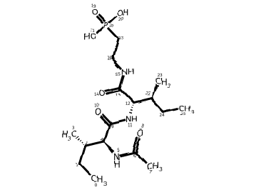 CC[C@H](C)[C@H](NC(C)=O)C(=O)N[C@H](C(=O)NC[CH]P(=O)(O)O)[C@@H](C)CC